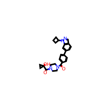 O=C(c1ccc(-c2ccc3cnn(C4CCC4)c3c2)cc1)N1CCN(C(=O)C2(O)CC2)CC1